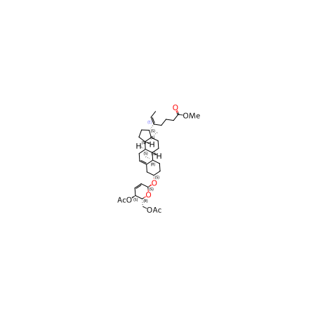 C/C=C(\CCCC(=O)OC)[C@H]1CC[C@H]2[C@@H]3CC=C4C[C@@H](O[C@@H]5C=C[C@H](OC(C)=O)[C@@H](COC(C)=O)O5)CC[C@]4(C)[C@H]3CC[C@]12C